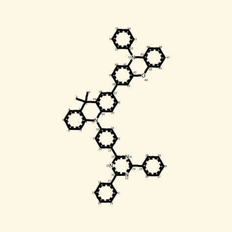 CC1(C)c2ccccc2N(c2ccc(-c3nc(-c4ccccc4)nc(-c4ccccc4)n3)cc2)c2ccc(-c3ccc4c(c3)Oc3ccccc3N4c3ccccc3)cc21